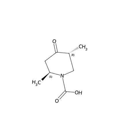 C[C@@H]1CN(C(=O)O)[C@@H](C)CC1=O